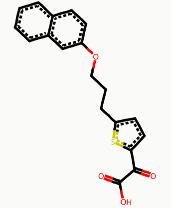 O=C(O)C(=O)c1ccc(CCCOc2ccc3ccccc3c2)s1